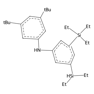 CC[SiH](CC)c1cc(Nc2cc(C(C)(C)C)cc(C(C)(C)C)c2)cc([Si](CC)(CC)CC)c1